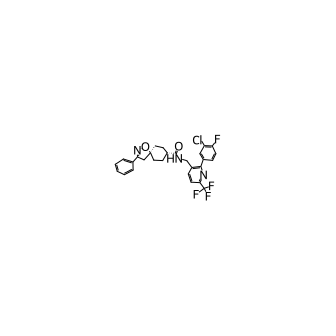 O=C(NCc1ccc(C(F)(F)F)nc1-c1ccc(F)c(Cl)c1)[C@H]1CC[C@]2(CC1)CC(c1ccccc1)=NO2